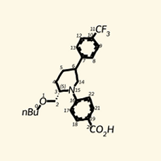 CCCCOC[C@@H]1CCC(c2ccc(C(F)(F)F)cc2)CN1c1ccc(C(=O)O)cc1